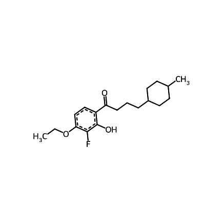 CCOc1ccc(C(=O)CCCC2CCC(C)CC2)c(O)c1F